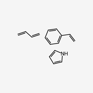 C=CC=C.C=Cc1ccccc1.c1cc[nH]c1